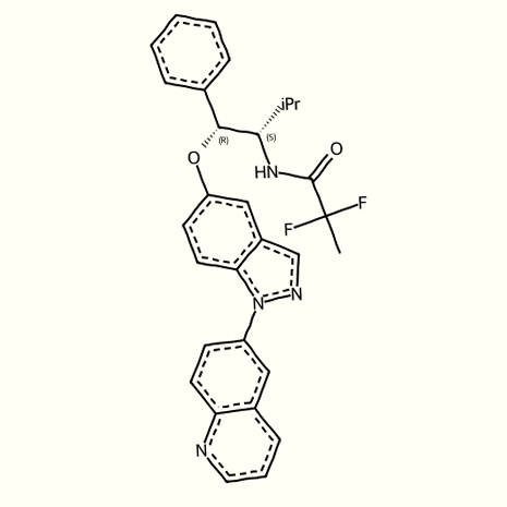 CC(C)[C@H](NC(=O)C(C)(F)F)[C@H](Oc1ccc2c(cnn2-c2ccc3ncccc3c2)c1)c1ccccc1